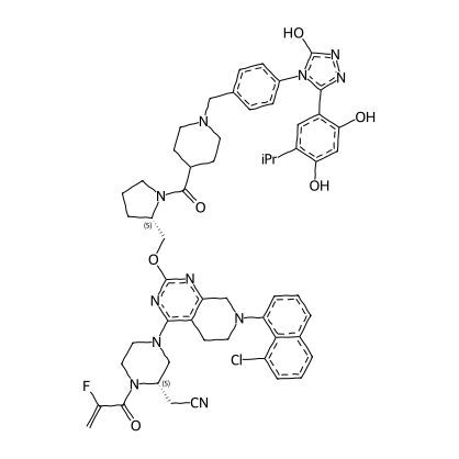 C=C(F)C(=O)N1CCN(c2nc(OC[C@@H]3CCCN3C(=O)C3CCN(Cc4ccc(-n5c(O)nnc5-c5cc(C(C)C)c(O)cc5O)cc4)CC3)nc3c2CCN(c2cccc4cccc(Cl)c24)C3)C[C@@H]1CC#N